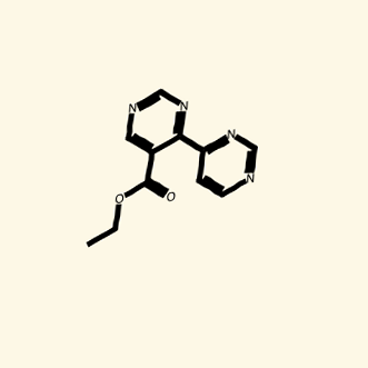 CCOC(=O)c1cncnc1-c1ccncn1